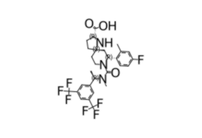 Cc1cc(F)ccc1[C@H]1C[C@]2(CC[C@H](C(=O)O)N2)CCN1C(=O)N(C)[C@H](C)c1cc(C(F)(F)F)cc(C(F)(F)F)c1